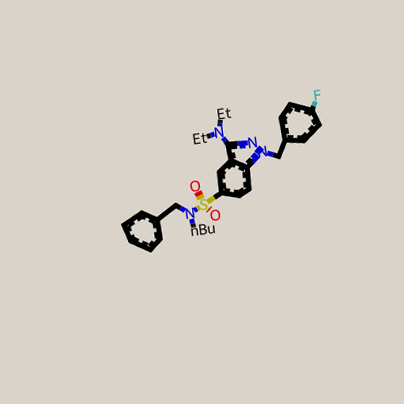 CCCCN(Cc1ccccc1)S(=O)(=O)c1ccc2c(c1)c(N(CC)CC)nn2Cc1ccc(F)cc1